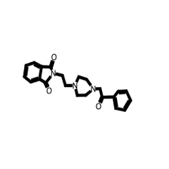 O=C(CN1CCN(CCN2C(=O)c3ccccc3C2=O)CC1)c1ccccc1